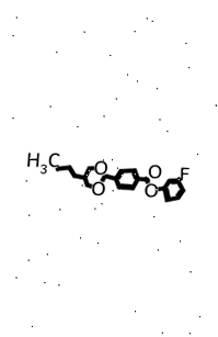 CCCCC1COC(c2ccc(C(=O)Oc3cccc(F)c3)cc2)OC1